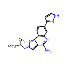 COC(C)Cn1cc2c(N)nc3cc(-c4cc[nH]n4)ccc3c2n1